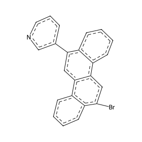 Brc1cc2c3ccccc3c(-c3cccnc3)cc2c2ccccc12